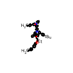 C=Cc1ccc(C2=CC3C=CC(OCC(CC)CCCCC4(c5ccccc5)C5=C(CCC=C5)c5ccc(N(C6=CC=C(c7ccc(C(C)(C)C)cc7)CC6)c6ccc(C7=CC8C9CC(C%10=CCC(C=C)CC%10)=CC=C9N(C9C=CC=CC9)C8CC7)cc6)cc54)=CC3C=C2)cc1